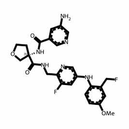 COc1ccc(Nc2cnc(CNC(=O)[C@]3(NC(=O)c4cncc(N)c4)CCOC3)c(F)c2)c(CF)c1